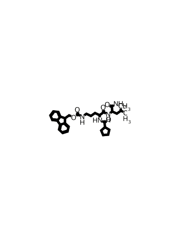 CC(C)CC(NC(=O)C(CCCNC(=O)OCC1c2ccccc2-c2ccccc21)NC(=O)C1CCCC1)C(N)=O